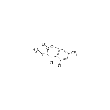 CCOC(=NN)C(Cl)c1c(Cl)cc(C(F)(F)F)cc1Cl